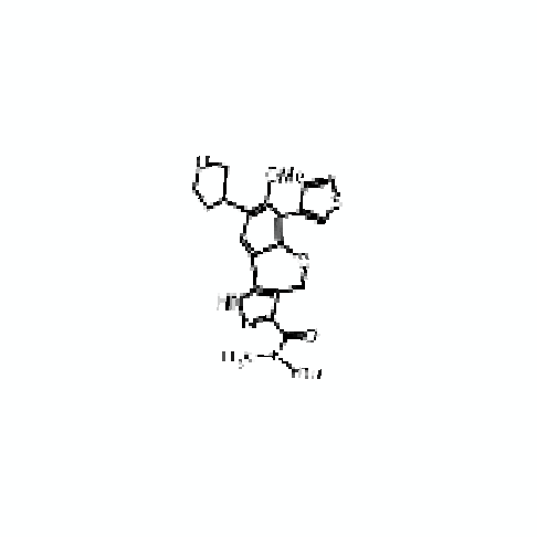 COc1c(C2CCOC2)cc2c(c1-c1ccsc1)OCc1c(C(=O)N(C)C(C)(C)C)n[nH]c1-2